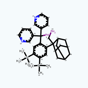 C[Si](C)(C)c1cc(C(P)(c2cccnc2)c2cccnc2)c(C2(CP)C3CC4CC(C3)CC2C4)cc1[Si](C)(C)C